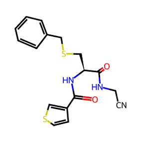 N#CCNC(=O)[C@H](CSCc1ccccc1)NC(=O)c1ccsc1